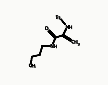 C=C(NCC)C(=O)NCCCO